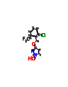 On1ccc(OCc2c(Cl)cccc2C(F)(F)F)n1